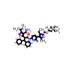 CCc1c(-c2ccc(NC(=O)C(c3onc(C(C)C)c3C(N)=O)C(C3CCCCC3)C3CCCCC3)nc2F)c(C)nn1COCC[Si](C)(C)C